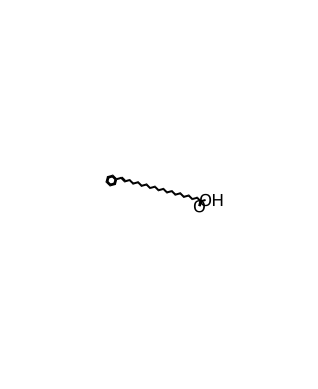 O=C(O)CCCCCCCCCCCCCCCCCC=Cc1ccccc1